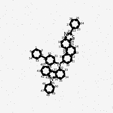 c1ccc(-c2ccc(N(c3ccc4ccc5c(ccc6nc(-c7ccccc7)sc65)c4c3)c3cccc4c3c3ccccc3n4-c3ccccc3)cc2)cc1